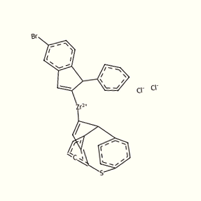 Brc1ccc2c(c1)C=[C]([Zr+2][C]1=Cc3c4cccc3C1c1ccc(cc1)S4)C2c1ccccc1.[Cl-].[Cl-]